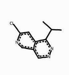 CC(C)c1nncc2cnc(Cl)cc12